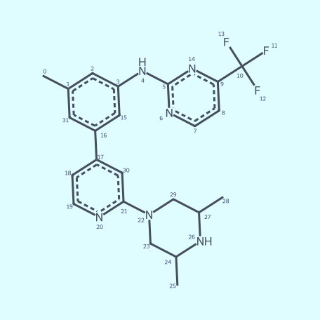 Cc1cc(Nc2nccc(C(F)(F)F)n2)cc(-c2ccnc(N3CC(C)NC(C)C3)c2)c1